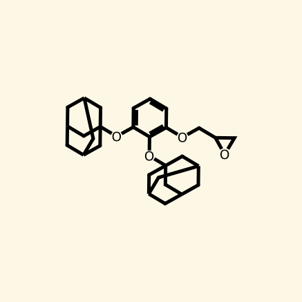 c1cc(OCC2CO2)c(OC23CC4CC(CC(C4)C2)C3)c(OC23CC4CC(CC(C4)C2)C3)c1